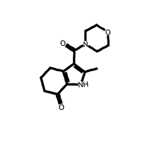 Cc1[nH]c2c(c1C(=O)N1CCOCC1)CCCC2=O